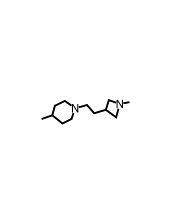 CC1CCN(CCC2CN(C)C2)CC1